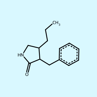 CCCC1CNC(=O)C1Cc1ccccc1